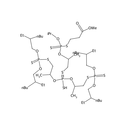 CCCCC(CC)COP(=S)(OCC(CC)CCCC)SCC(C)O[PH](S)(OC(C)CSP(=S)(OCC(CC)CCCC)OCC(CC)CCCC)SCC(C)OP(=S)(OC(C)C)SCCC(=O)OC